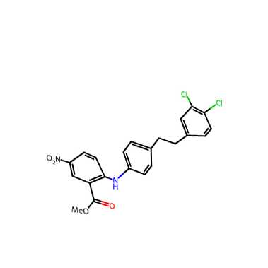 COC(=O)c1cc([N+](=O)[O-])ccc1Nc1ccc(CCc2ccc(Cl)c(Cl)c2)cc1